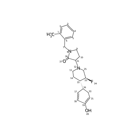 Cc1ccccc1CN1CCC(N2CC[C@@H](C3C=CC(O)=CC3)[C@H](F)C2)C1=O